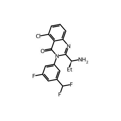 CC[C@H](N)c1nc2cccc(Cl)c2c(=O)n1-c1cc(F)cc(C(F)F)c1